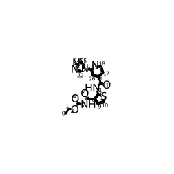 CCOC(=O)NC(=O)c1ccsc1NC(=O)c1ccnc(-n2cnnn2)c1